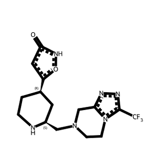 O=c1cc([C@@H]2CCN[C@H](CN3CCn4c(nnc4C(F)(F)F)C3)C2)o[nH]1